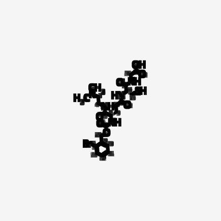 CN(C)CCNC(=O)[C@H](CCC(=O)N[C@@H](CS)C(=O)NCC(=O)O)NC(=O)OCc1ccccc1Br